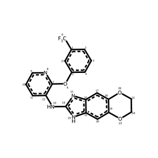 FC(F)(F)c1cccc(Oc2ncccc2Nc2nc3cc4c(cc3[nH]2)OCCO4)c1